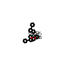 CC1=Cc2c(-c3ccccc3)cccc2[CH]1[Zr](=[SiH2])([c]1ccccc1)([c]1ccccc1)[CH]1C(C)=Cc2c(-c3ccccc3)cccc21.Cl.Cl